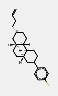 C=CCC[C@@H]1CC[C@H]2[C@H](CC[C@H]3CC(c4ccc(F)cc4)CC[C@@H]32)C1